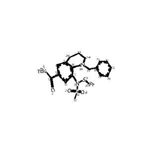 CCCCC(=O)c1cc2c(c(N(SC(C)C)S(C)(=O)=O)c1)N(Cc1ccccc1)CCC2